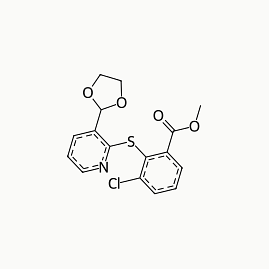 COC(=O)c1cccc(Cl)c1Sc1ncccc1C1OCCO1